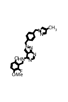 COc1ccc(Cl)c(CNc2ncnc3nn(Cc4ccc(Cn5cc(C)cn5)cc4)cc23)c1F